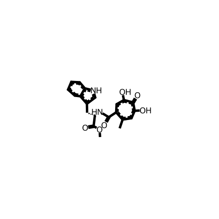 COC(=O)[C@H](Cc1c[nH]c2ccccc12)NC(=O)c1cc(O)c(=O)c(O)cc1C